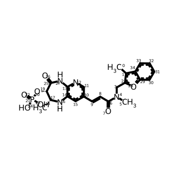 Cc1c(CN(C)C(=O)/C=C/c2cnc3c(c2)N[C@H](C)[C@H](OP(=O)(O)O)C(=O)N3)oc2ccccc12